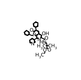 CCOC(=O)C(C)(C)CNC(=O)c1nc(-c2cccnc2)c2c(cc(-c3ccccc3)c(=O)n2Cc2ccccc2)c1O